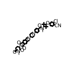 CC1(C)[C@H](Oc2ccc(C#N)c(Cl)c2)C(C)(C)[C@H]1N(I)C(=O)c1ccc(N2CCC(N3Cc4cc5c(cc4C3)C(=O)N(C3CCC(=O)N(I)C3=O)C5=O)CC2)cc1